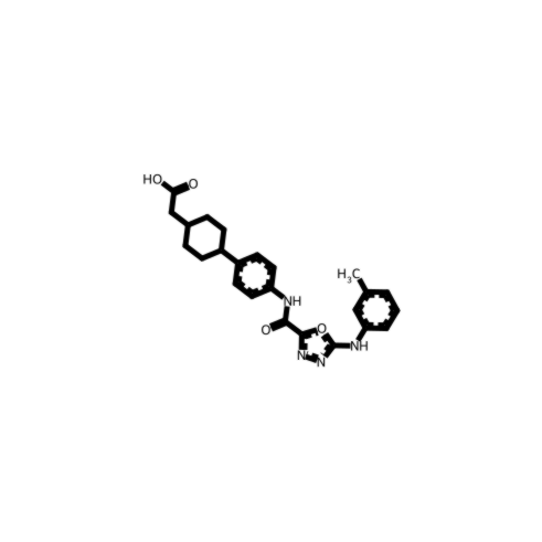 Cc1cccc(Nc2nnc(C(=O)Nc3ccc(C4CCC(CC(=O)O)CC4)cc3)o2)c1